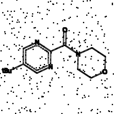 CC(C)(C)c1cnc(C(=O)N2CCOCC2)nc1